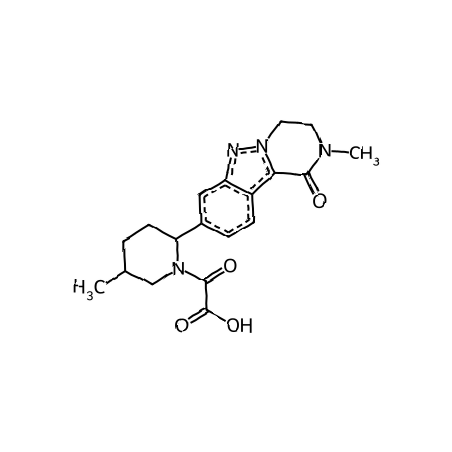 CC1CCC(c2ccc3c4n(nc3c2)CCN(C)C4=O)N(C(=O)C(=O)O)C1